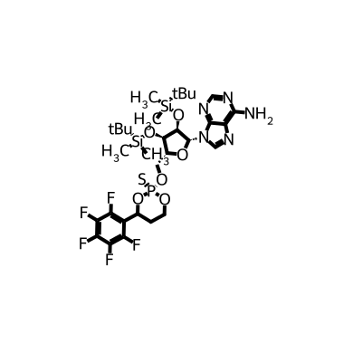 CC(C)(C)[Si](C)(C)O[C@@H]1[C@H](O[Si](C)(C)C(C)(C)C)[C@@H](COP2(=S)OCCC(c3c(F)c(F)c(F)c(F)c3F)O2)O[C@H]1n1cnc2c(N)ncnc21